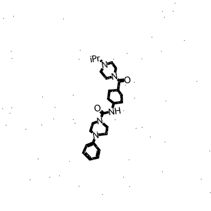 CC(C)N1CCN(C(=O)C2CCC(NC(=O)N3CCN(c4ccccc4)CC3)CC2)CC1